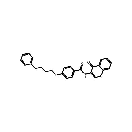 O=C(Nc1[c]oc2ccccc2c1=O)c1ccc(OCCCCc2ccccc2)cc1